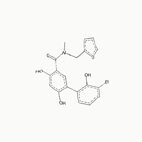 CCc1cccc(-c2cc(C(=O)N(C)Cc3ccco3)c(O)cc2O)c1O